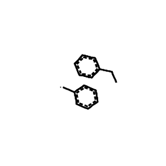 CCc1ccccc1.[CH2]c1ccccc1